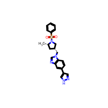 C[C@H]1C[C@@H](Cn2cnc3cc(-c4cn[nH]c4)ccc32)CN1S(=O)(=O)c1ccccc1